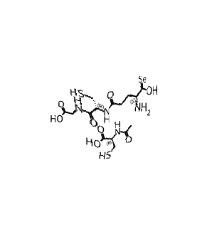 CC(=O)N[C@@H](CS)C(=O)O.N[C@@H](CCC(=O)N[C@@H](CS)C(=O)NCC(=O)O)C(O)=[Se]